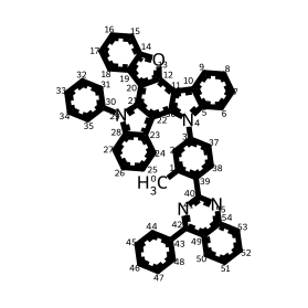 Cc1cc(-n2c3ccccc3c3c4oc5ccccc5c4c4c(c5ccccc5n4-c4ccccc4)c32)ccc1-c1nc(-c2ccccc2)c2ccccc2n1